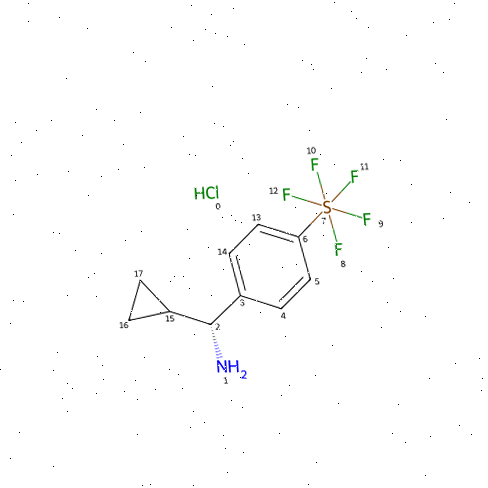 Cl.N[C@@H](c1ccc(S(F)(F)(F)(F)F)cc1)C1CC1